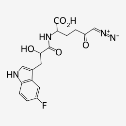 [N-]=[N+]=CC(=O)CCC(NC(=O)C(O)Cc1c[nH]c2ccc(F)cc12)C(=O)O